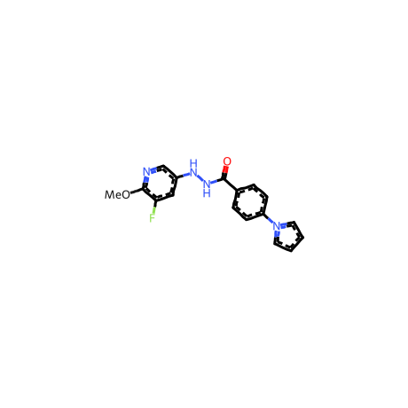 COc1ncc(NNC(=O)c2ccc(-n3cccc3)cc2)cc1F